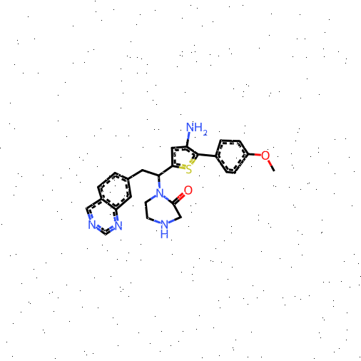 COc1ccc(-c2sc(C(Cc3ccc4cncnc4c3)N3CCNCC3=O)cc2N)cc1